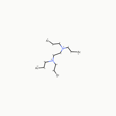 CC(=O)CCN(CCC(C)=O)CCN(CCC(C)=O)CCC(C)=O